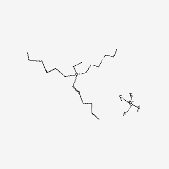 CCCCCC[P+](CC)(CCCCCC)CCCCCC.F[B-](F)(F)F